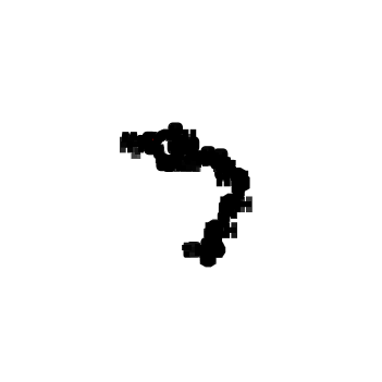 CO[C@H]1C[C@H](C)CC2=C(NCCCNC(=O)CCCN3C(=O)CC(SC[C@H]4CCN5CC[C@H](CSC[C@H]6CCN7CC[C@H](CSC[C@H]8CCN9CC[C@H](CO[Si](c%10ccccc%10)(c%10ccccc%10)C(C)(C)C)N=C9N8)N=C7N6)N=C5N4)C3=O)C(=O)C=C(NC(=O)/C(C)=C/C=C\[C@@H](OC)[C@@H](OC(N)=O)/C(C)=C/[C@H](C)[C@H]1O)C2=O